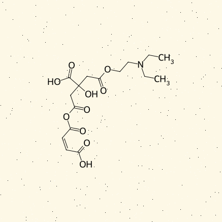 CCN(CC)CCOC(=O)CC(O)(CC(=O)OC(=O)/C=C\C(=O)O)C(=O)O